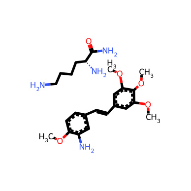 COc1ccc(C=Cc2cc(OC)c(OC)c(OC)c2)cc1N.NCCCC[C@@H](N)C(N)=O